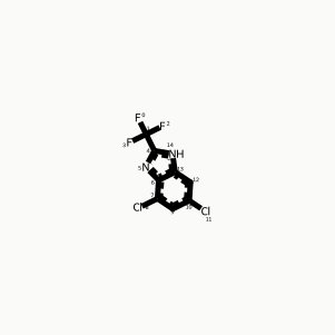 FC(F)(F)c1nc2c(Cl)cc(Cl)cc2[nH]1